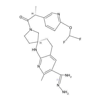 Cc1nc2c(cc1/C(N)=N/N)CC[C@@]1(CCN(C(=O)[C@H](C)c3ccc(OC(F)F)nc3)C1)N2